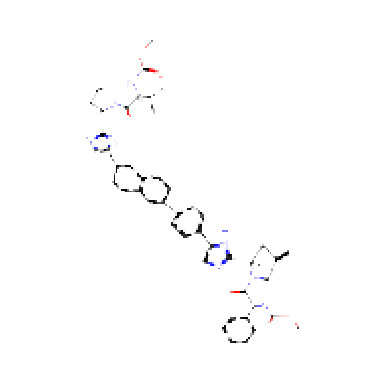 C=C1C[C@@H](c2ncc(-c3ccc(-c4ccc5cc(-c6cnc([C@@H]7CCCN7C(=O)[C@@H](NC(=O)OC)C(C)C)[nH]6)ccc5c4)cc3)[nH]2)N(C(=O)C(NC(=O)OC)c2ccccc2)C1